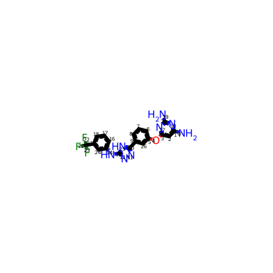 Nc1cc(Oc2cccc(-c3nnc(Nc4cccc(C(F)(F)F)c4)[nH]3)c2)nc(N)n1